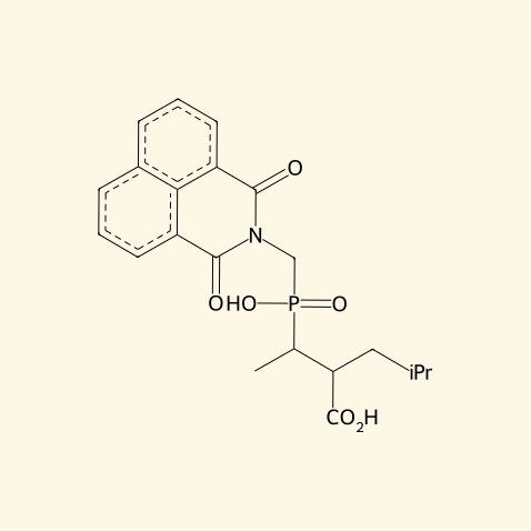 CC(C)CC(C(=O)O)C(C)P(=O)(O)CN1C(=O)c2cccc3cccc(c23)C1=O